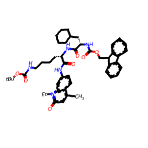 CCn1c(=O)cc(C)c2ccc(NC(=O)[C@H](CCCCNC(=O)OC(C)(C)C)NC(=O)[C@H](CC3CCCCC3)NC(=O)OCC3c4ccccc4-c4ccccc43)cc21